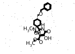 COC(=O)c1nc([C@]2(N(C)C)CC[C@@H](COCc3ccccc3)CC2)[nH]c(=O)c1O